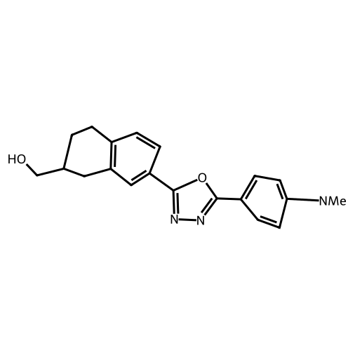 CNc1ccc(-c2nnc(-c3ccc4c(c3)CC(CO)CC4)o2)cc1